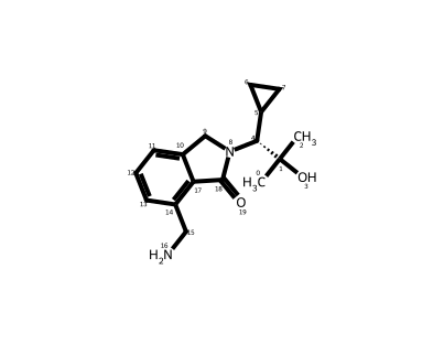 CC(C)(O)[C@@H](C1CC1)N1Cc2cccc(CN)c2C1=O